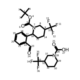 CC(C)(C)OC(=O)N1CC(C(F)(F)F)CCC1c1ccccc1C=O.O=C(O)N1CCCC(C(F)(F)F)C1